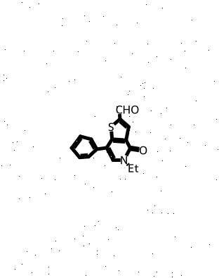 CCn1cc(-c2ccccc2)c2sc(C=O)cc2c1=O